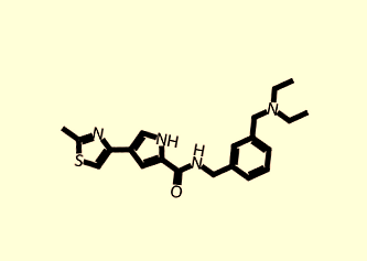 CCN(CC)Cc1cccc(CNC(=O)c2cc(-c3csc(C)n3)c[nH]2)c1